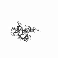 C=CC(=O)O[C@H]1[C@H](C)O[C@@H](O[C@H]2[C@H](C)[C@H]3O[C@@H]4O[C@H](C)C[C@H](N(C)CCC#N)[C@H]4OC(=O)C[C@H](C[C@@]3(C)OC)C(=O)N[C@H](C)[C@@H](O)[C@](C)(O)[C@@H](CC)OC(=O)[C@@H]2C)C[C@@]1(C)OC